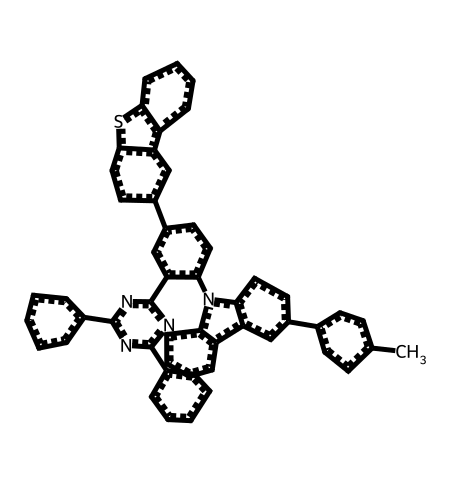 Cc1ccc(-c2ccc3c(c2)c2ccccc2n3-c2ccc(-c3ccc4sc5ccccc5c4c3)cc2-c2nc(-c3ccccc3)nc(-c3ccccc3)n2)cc1